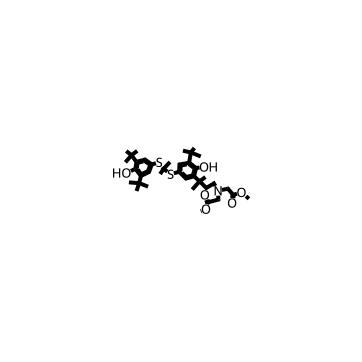 COC(=O)CN(CCC(C)(C)c1cc(SC(C)(C)Sc2cc(C(C)(C)C)c(O)c(C(C)(C)C)c2)cc(C(C)(C)C)c1O)CC(=O)OC